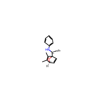 CCC[C@H](Nc1ccccc1)C12C=C[C@H](O1)C(C)=C2C